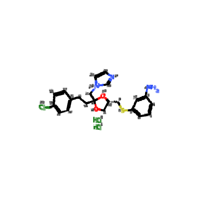 Cl.Cl.Nc1cccc(SC[C@@H]2CO[C@](CCc3ccc(Cl)cc3)(Cn3ccnc3)O2)c1